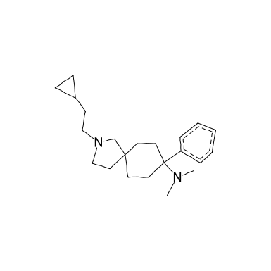 CN(C)C1(c2ccccc2)CCC2(CCN(CCC3CC3)C2)CC1